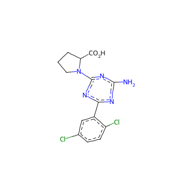 Nc1nc(-c2cc(Cl)ccc2Cl)nc(N2CCCC2C(=O)O)n1